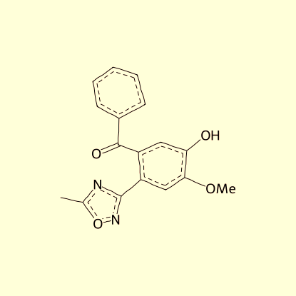 COc1cc(-c2noc(C)n2)c(C(=O)c2ccccc2)cc1O